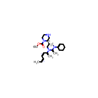 C=C(/C=C\C=C/C)N(CC[C@@H]1CNCCN1C(=O)OC(C)(C)C)C(=C)N(C)C1=CCCCC1